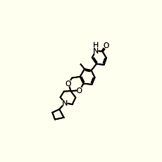 Cc1c(-c2ccc(=O)[nH]c2)ccc2c1COC1(CCN(C3CCC3)CC1)O2